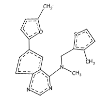 [CH2]c1ccc(-c2ccc3ncnc(N(C)Cc4sccc4C)c3c2)o1